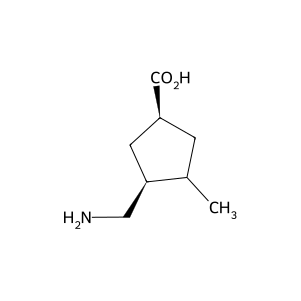 CC1C[C@H](C(=O)O)C[C@@H]1CN